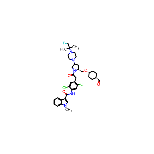 Cn1cc(C(=O)Nc2cc(Cl)c(CC(=O)N3C[C@@H](N4CCN(C(C)(C)CF)CC4)C[C@H]3CO[C@H]3CC[C@H](C=O)CC3)cc2Cl)c2ccccc21